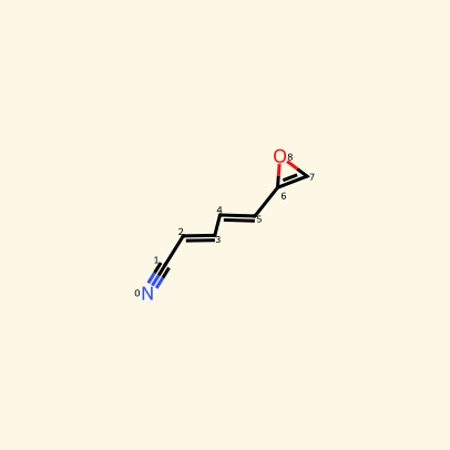 N#CC=CC=CC1=CO1